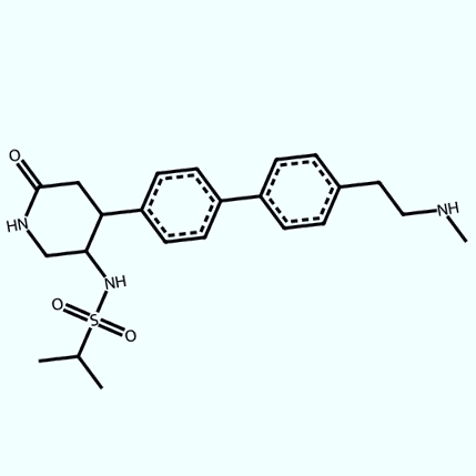 CNCCc1ccc(-c2ccc(C3CC(=O)NCC3NS(=O)(=O)C(C)C)cc2)cc1